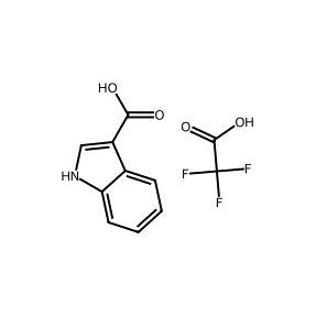 O=C(O)C(F)(F)F.O=C(O)c1c[nH]c2ccccc12